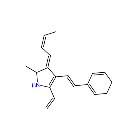 C=CC1=C(/C=C/C2=CCCC=C2)/C(=C/C=C\C)C(C)N1